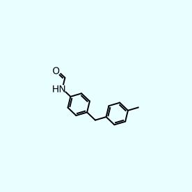 Cc1ccc(Cc2ccc(NC=O)cc2)cc1